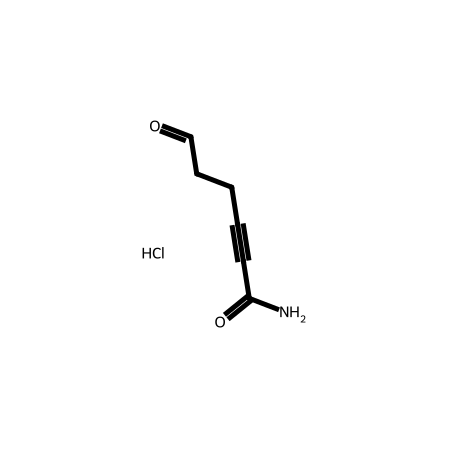 Cl.NC(=O)C#CCCC=O